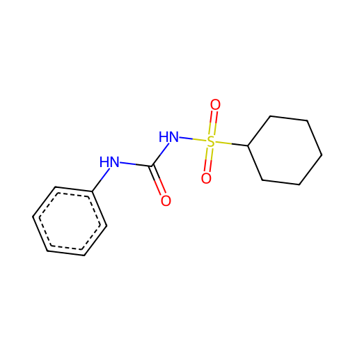 O=C(Nc1ccccc1)NS(=O)(=O)C1CCCCC1